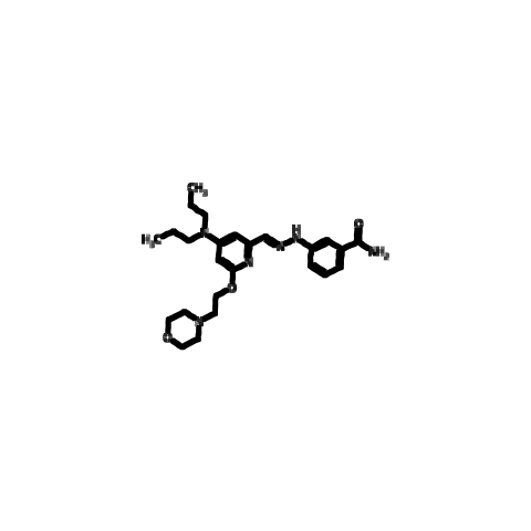 CCCN(CCC)c1cc(/C=N/Nc2cccc(C(N)=O)c2)nc(OCCN2CCOCC2)c1